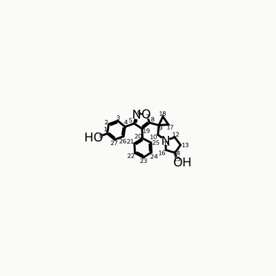 Oc1ccc(-c2noc(C3(CN4CCC(O)C4)CC3)c2-c2ccccc2)cc1